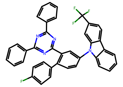 Fc1ccc(-c2ccc(-n3c4ccccc4c4ccc(C(F)(F)F)cc43)cc2-c2nc(-c3ccccc3)nc(-c3ccccc3)n2)cc1